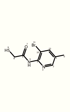 Cc1cnc(NC(=O)CS)c(Br)c1